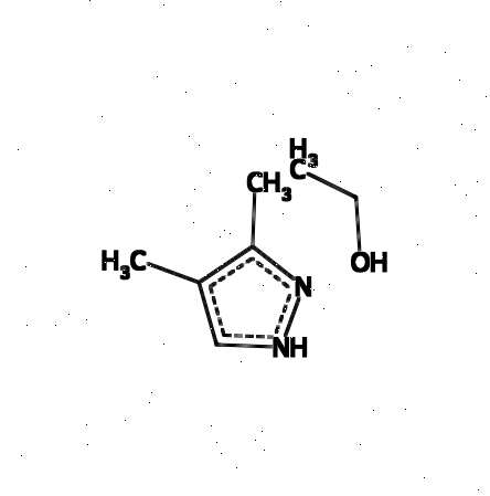 CCO.Cc1c[nH]nc1C